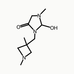 CN1CC(C)(CN2C(=O)CN(C)C2O)C1